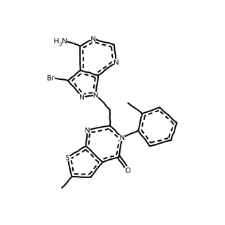 Cc1cc2c(=O)n(-c3ccccc3C)c(Cn3nc(Br)c4c(N)ncnc43)nc2s1